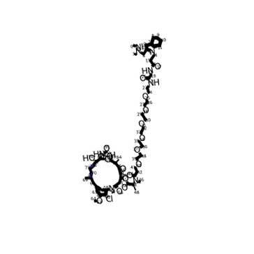 CNN(C)Cc1cc2ccccc2n1CCC(=O)NCC(=O)NCCOCCOCCOCCOCCOCCOCCC(=O)N(C)[C@@H](C)C(=O)O[C@H]1CC(=O)N(C)c2cc(cc(OC)c2Cl)C/C(C)=C/C=C/[C@@H](O)[C@@]2(O)C[C@H](OC(=O)N2)[C@@H](C)C2O[C@]21C